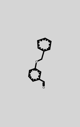 O=Cc1[c]ccc(OCc2ccccc2)c1